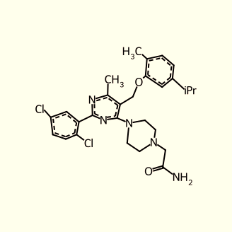 Cc1ccc(C(C)C)cc1OCc1c(C)nc(-c2cc(Cl)ccc2Cl)nc1N1CCN(CC(N)=O)CC1